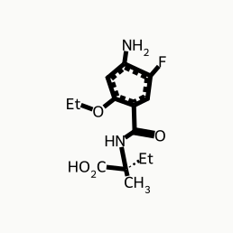 CCOc1cc(N)c(F)cc1C(=O)N[C@](C)(CC)C(=O)O